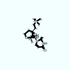 C=C1NC(=O)C=CN1[C@@H]1O[C@@]2(CCP(=C)(C)C)CCO[C@@H]1[C@@H]2O